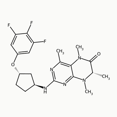 Cc1nc(N[C@H]2CC[C@H](Oc3cc(F)c(F)c(F)c3)C2)nc2c1N(C)C(=O)[C@H](C)N2C